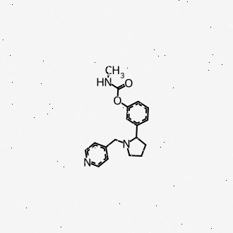 CNC(=O)Oc1cccc(C2CCCN2Cc2ccncc2)c1